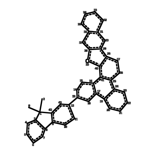 CC1(C)c2ccccc2-c2ccc(-c3ccc4c(c3)c3ccccc3c3ccc5c6cc7ccccc7cc6oc5c34)cc21